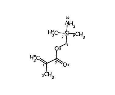 C=C(C)C(=O)OC[Si](C)(C)N